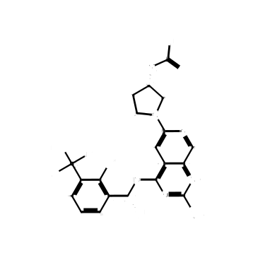 CC(=O)N[C@H]1CCN(c2cc3c(N[C@H](C)c4cccc(C(C)(F)F)c4F)nc(C)nc3cn2)C1